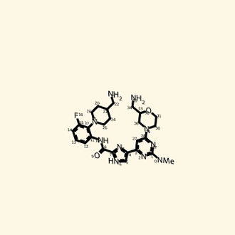 CNc1nc(-c2c[nH]c(C(=O)Nc3cccc(F)c3N3CCC(CN)CC3)n2)cc(N2CCOC(CN)C2)n1